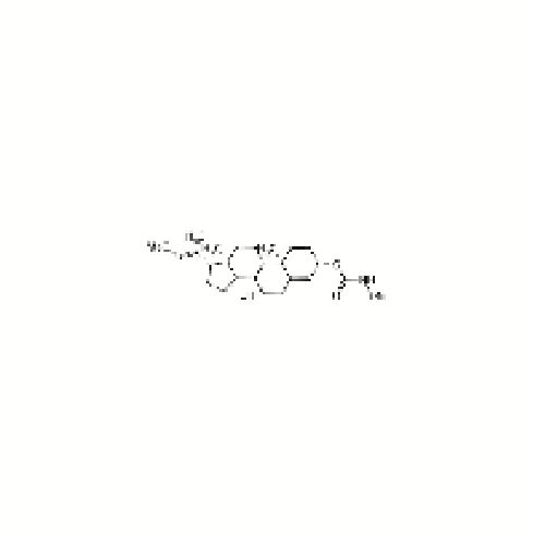 CO/C=C(\C)[C@H]1CC[C@]2(O)C3CCC4=C[C@@H](OC(=O)NC(C)(C)C)CC[C@]4(C)C3CC[C@]12C